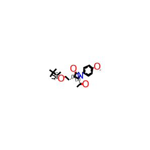 COc1ccc(N2C(=O)[C@@H](CCO[Si](C)(C)C(C)(C)C)[C@H]2C(C)=O)cc1